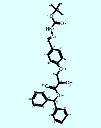 CC(C)(C)OC(=O)NN=Cc1ccc(OCC(O)C(=O)OC(c2ccccc2)c2ccccc2)cc1